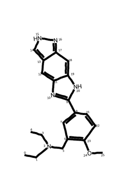 CCN(CC)Cc1cc(-c2nc3cc4c[nH]nc4cc3[nH]2)ccc1OC